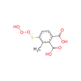 Cc1c(SOOO)ccc(C(=O)O)c1C(=O)O